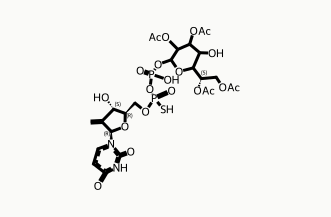 C=C1[C@H](n2ccc(=O)[nH]c2=O)O[C@H](COP(=O)(S)OP(=O)(O)OC2OC([C@H](COC(C)=O)OC(C)=O)C(O)C(OC(C)=O)C2OC(C)=O)[C@H]1O